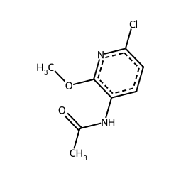 COc1nc(Cl)ccc1NC(C)=O